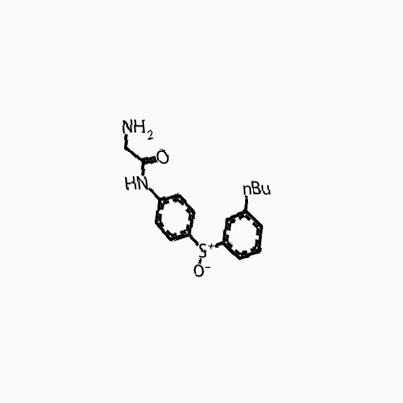 CCCCc1cccc([S+]([O-])c2ccc(NC(=O)CN)cc2)c1